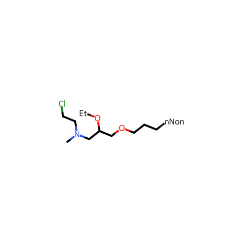 CCCCCCCCCCCCOCC(CN(C)CCCl)OCC